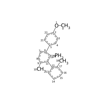 COc1ccc(-c2ccc(C)c(-c3ccccc3C)c2P)cc1